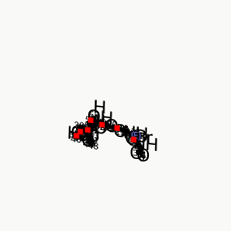 COC(=O)CCNC(=O)/C(Br)=C\C(=O)NCCOCCOCCC(=O)Nc1cc(CC(CC(C)C(=O)OC(C)(C)C)NC(=O)OC(C)(C)C)ccc1O